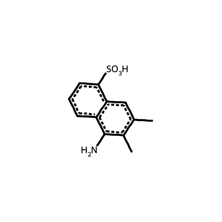 Cc1cc2c(S(=O)(=O)O)cccc2c(N)c1C